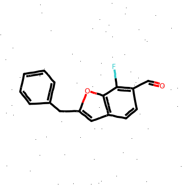 O=Cc1ccc2cc(Cc3ccccc3)oc2c1F